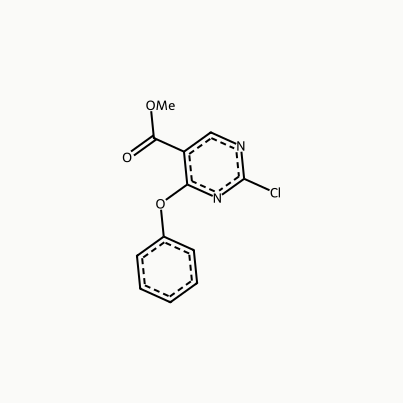 COC(=O)c1cnc(Cl)nc1Oc1ccccc1